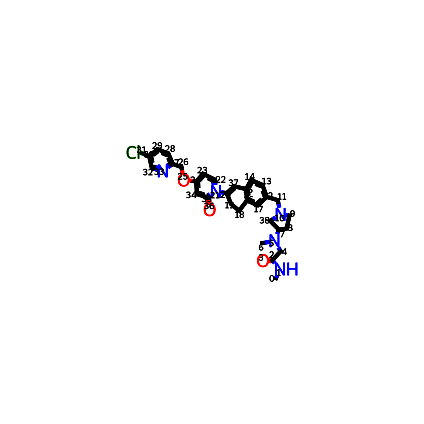 CNC(=O)CN(C)C1CCN(Cc2ccc3c(c2)CCC(n2ccc(OCc4ccc(Cl)cn4)cc2=O)=C3)C1